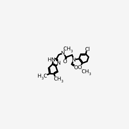 COC1=C(N(C=O)CC(=O)N(C)Cc2nc3cc(C)c(C)cc3[nH]2)C=C(Cl)CC1